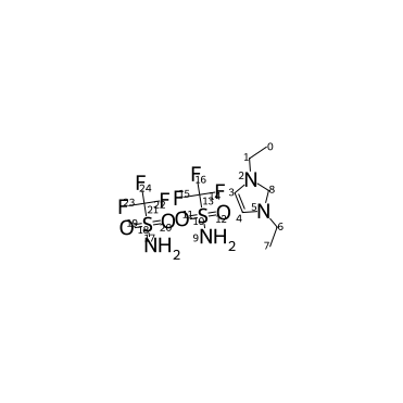 CCN1C=CN(CC)C1.NS(=O)(=O)C(F)(F)F.NS(=O)(=O)C(F)(F)F